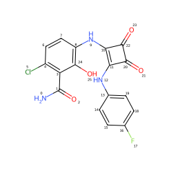 NC(=O)c1c(Cl)ccc(Nc2c(Nc3ccc(F)cc3)c(=O)c2=O)c1O